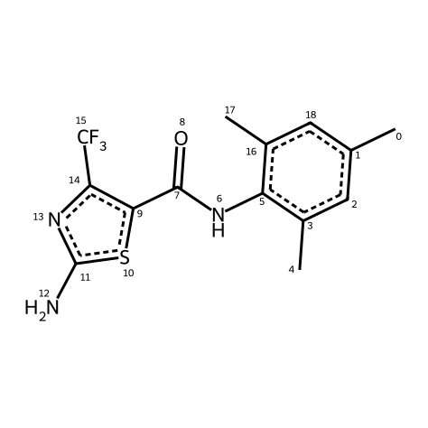 Cc1cc(C)c(NC(=O)c2sc(N)nc2C(F)(F)F)c(C)c1